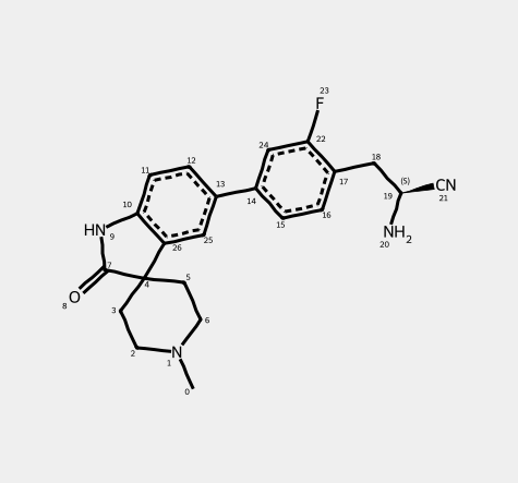 CN1CCC2(CC1)C(=O)Nc1ccc(-c3ccc(C[C@H](N)C#N)c(F)c3)cc12